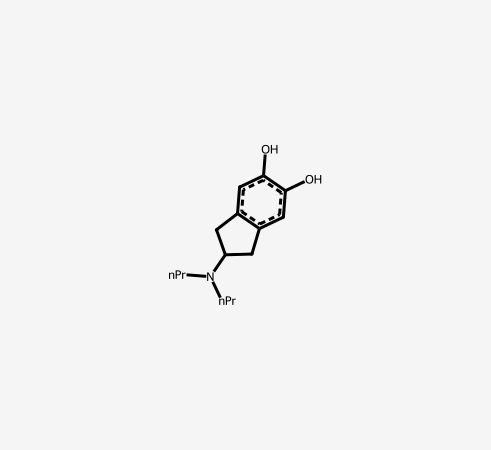 CCCN(CCC)C1Cc2cc(O)c(O)cc2C1